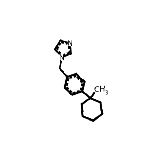 CC1(c2ccc(Cn3ccnc3)cc2)CCCCC1